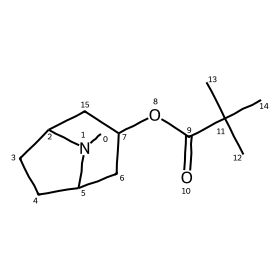 CN1C2CCC1CC(OC(=O)C(C)(C)C)C2